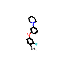 Bc1ccc(Oc2cccc(N3CCCCC3)c2)cc1F